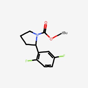 CC(C)(C)OC(=O)N1CCCC1c1cc(F)ccc1F